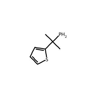 CC(C)(P)c1cccs1